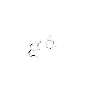 O=C(O)N1CC[C@@H](Nc2ncc3ccc(Br)n3n2)[C@H](O)C1